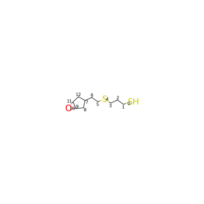 SCCCSCCC1CC2OC2C1